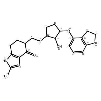 Cc1cc2c([nH]1)CCC(CNC1CCC(Oc3cccc4c3CCN4)C1O)C2=O